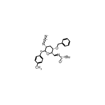 Cc1ccc(SC2O[C@H](/C=N/[S@@+]([O-])C(C)(C)C)[C@@H](OCc3ccccc3)C[C@H]2N=[N+]=[N-])cc1